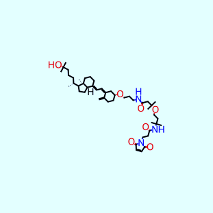 C=C1CC[C@H](OCCCNC(=O)CC(C)(C)OCCC(C)(C)NC(=O)CCN2C(=O)C=CC2=O)C/C1=C/C=C1\CCC[C@]2(C)C([C@H](C)CCCC(C)(C)O)CC[C@@H]12